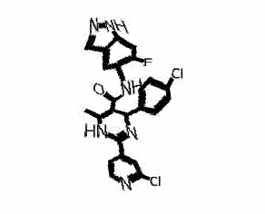 CC1=C(C(=O)Nc2cc3cn[nH]c3cc2F)C(c2ccc(Cl)cc2)N=C(c2ccnc(Cl)c2)N1